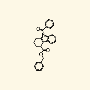 O=C(OCc1ccccc1)C1CCCc2c1c1ccccc1n2C(=O)c1ccccc1